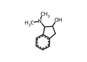 CN(C)C1c2ccccc2CC1O